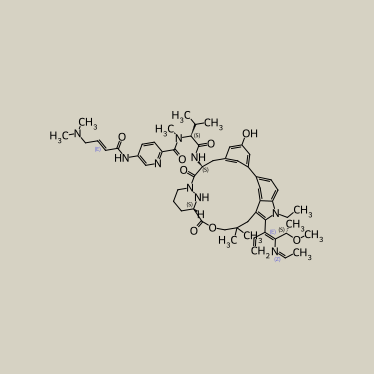 C=C/C(=C(\N=C/C)[C@H](C)OC)c1c2c3cc(ccc3n1CC)-c1cc(O)cc(c1)C[C@H](NC(=O)[C@H](C(C)C)N(C)C(=O)c1ccc(NC(=O)/C=C/CN(C)C)cn1)C(=O)N1CCC[C@H](N1)C(=O)OCC(C)(C)C2